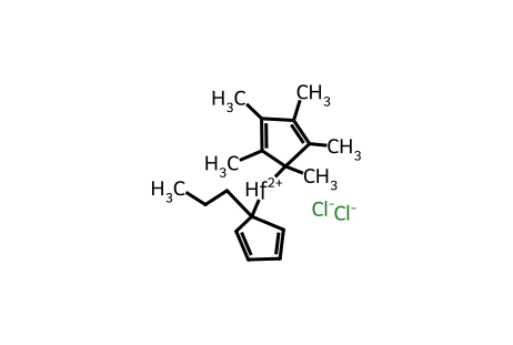 CCC[C]1([Hf+2][C]2(C)C(C)=C(C)C(C)=C2C)C=CC=C1.[Cl-].[Cl-]